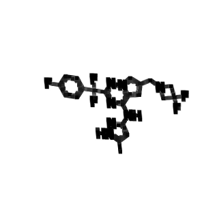 Cc1cc(Nc2nc(C(F)(F)c3ccc(F)cc3)nn3cc(CN4CC(F)(F)C4)cc23)n[nH]1